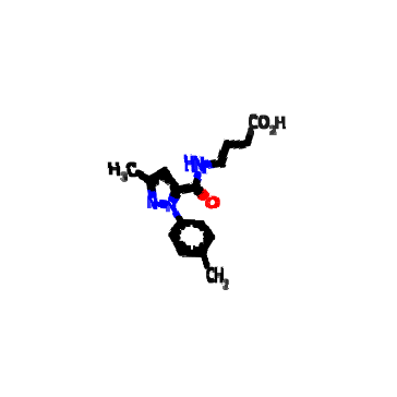 Cc1ccc(-n2nc(C)cc2C(=O)NCCCC(=O)O)cc1